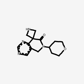 O=C1N(C2CCOCC2)Cc2cncnc2C12CNC2